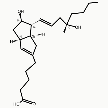 CCCC[C@](C)(O)CC=C[C@@H]1[C@H]2CC(CCCCC(=O)O)=C[C@H]2C[C@H]1O